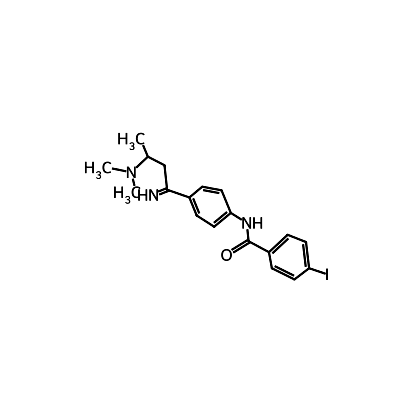 CC(CC(=N)c1ccc(NC(=O)c2ccc(I)cc2)cc1)N(C)C